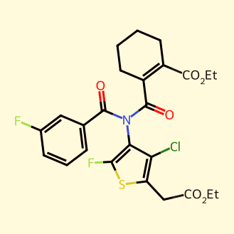 CCOC(=O)Cc1sc(F)c(N(C(=O)C2=C(C(=O)OCC)CCCC2)C(=O)c2cccc(F)c2)c1Cl